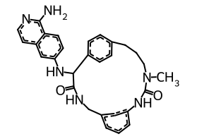 CN1CCCc2ccc(cc2)C(Nc2ccc3c(N)nccc3c2)C(=O)NCc2cccc(c2)NC1=O